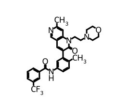 Cc1cc2c(cn1)cc(-c1cc(NC(=O)c3cccc(C(F)(F)F)c3)ccc1C)c(=O)n2CCN1CCOCC1